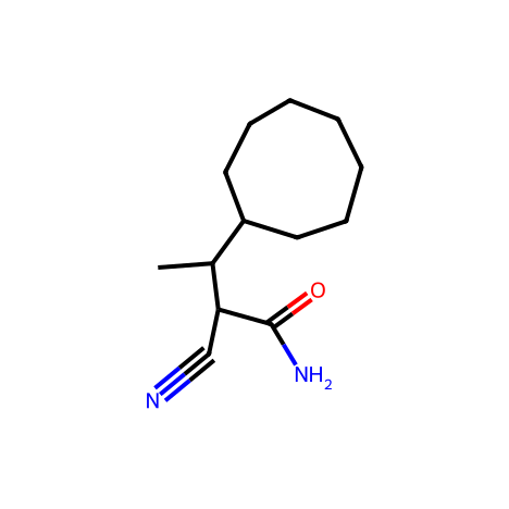 CC(C1CCCCCCC1)C(C#N)C(N)=O